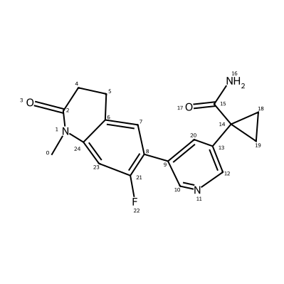 CN1C(=O)CCc2cc(-c3cncc(C4(C(N)=O)CC4)c3)c(F)cc21